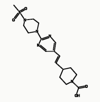 CS(=O)(=O)N1CCN(c2ncc(/C=C/C3CCN(C(=O)O)CC3)cn2)CC1